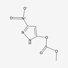 COC(=O)Oc1cc([N+](=O)[O-])n[nH]1